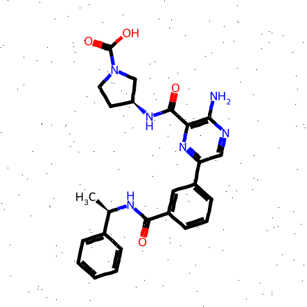 C[C@@H](NC(=O)c1cccc(-c2cnc(N)c(C(=O)N[C@H]3CCN(C(=O)O)C3)n2)c1)c1ccccc1